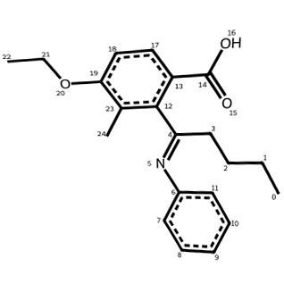 CCCCC(=Nc1ccccc1)c1c(C(=O)O)ccc(OCC)c1C